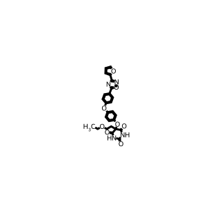 CCOCCC1(Oc2ccc(Oc3ccc(-c4nc(-c5ccco5)no4)cc3)cc2)C(=O)NC(=O)NC1=O